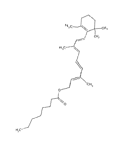 CCCCCCCC(=O)OCC=C(C)C=CC=C(C)C=CC1=C(C)CCCC1(C)C